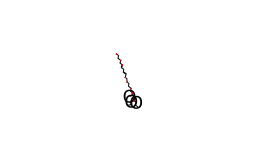 CCCCCC=CCC=CCCCCCCCCC(=O)CC(OCC)OCC